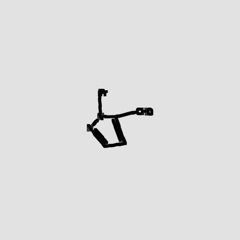 CC(C)n1nccc1C=O